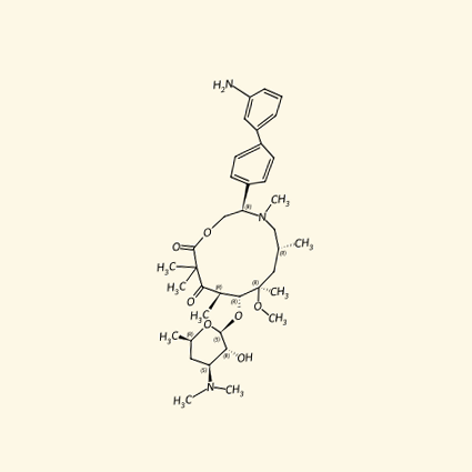 CO[C@]1(C)C[C@@H](C)CN(C)[C@H](c2ccc(-c3cccc(N)c3)cc2)COC(=O)C(C)(C)C(=O)[C@H](C)[C@H]1O[C@@H]1O[C@H](C)C[C@H](N(C)C)[C@H]1O